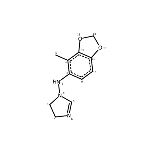 Cc1c(NN2C=NCC2)ccc2c1OCO2